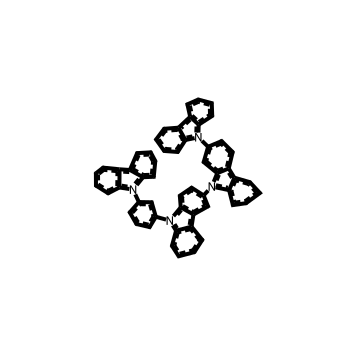 c1cc(-n2c3ccccc3c3ccccc32)cc(-n2c3ccccc3c3cc(-n4c5ccccc5c5ccc(-n6c7ccccc7c7ccccc76)cc54)ccc32)c1